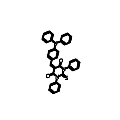 O=C1C(=Cc2ccc(N(c3ccccc3)c3ccccc3)cc2)C(=O)N(c2ccccc2)C(=S)N1c1ccccc1